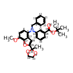 COc1ccc(N(Cc2ccccc2)c2cccc(C(=O)OC(C)(C)C)c2)c2cc(C3(C)OCCO3)oc12